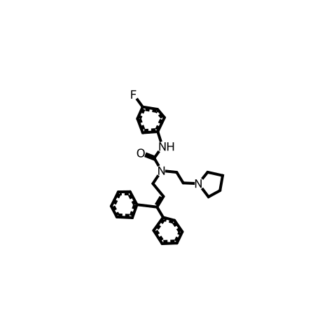 O=C(Nc1ccc(F)cc1)N(CC=C(c1ccccc1)c1ccccc1)CCN1CCCC1